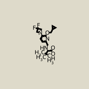 CC(C)(C)[C@H](NCc1ccc(N2CC(F)(F)C2)c(OCC2CC2)n1)C(=O)O